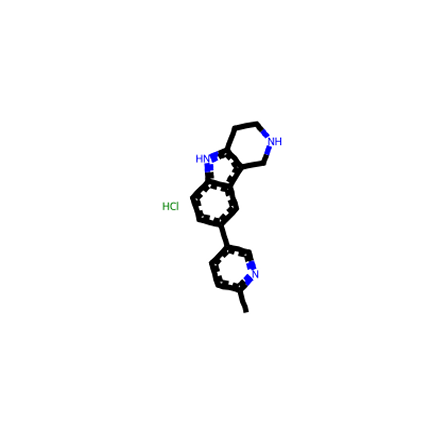 Cc1ccc(-c2ccc3[nH]c4c(c3c2)CNCC4)cn1.Cl